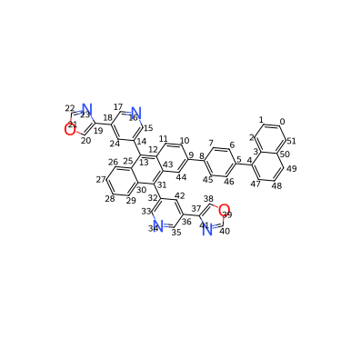 c1ccc2c(-c3ccc(-c4ccc5c(-c6cncc(-c7cocn7)c6)c6ccccc6c(-c6cncc(-c7cocn7)c6)c5c4)cc3)cccc2c1